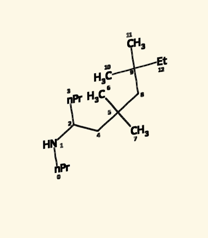 CCCNC(CCC)CC(C)(C)CC(C)(C)CC